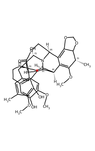 COC1=C2C(=C3OCOC3[C@@H]1C)[C@@H]1COC(=O)[C@@]3(CS[C@H]2[C@H]2C4NC(Cc5cc(C)c(OC)c(O)c54)[C@H](O)N21)NCCc1cc(O)c(OC)cc13